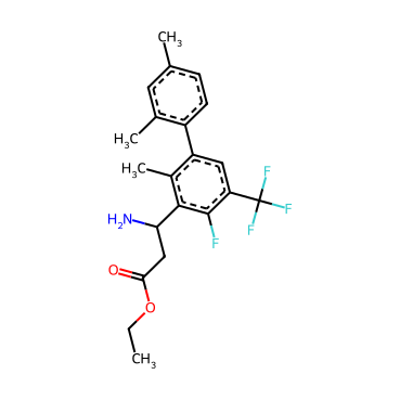 CCOC(=O)CC(N)c1c(C)c(-c2ccc(C)cc2C)cc(C(F)(F)F)c1F